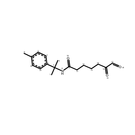 Cc1ccc(C(C)(C)NC(=O)CCCCC(=O)C=O)cc1